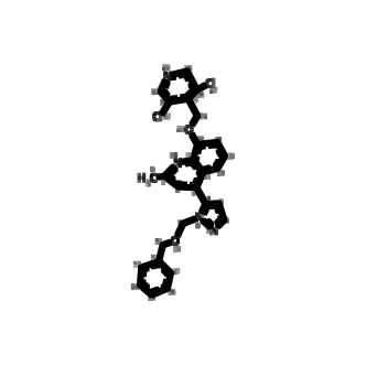 Cc1cc(-c2ccnn2COCc2ccccc2)c2cccc(OCc3c(Cl)cncc3Cl)c2n1